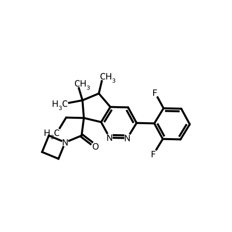 CCC1(C(=O)N2CCC2)c2nnc(-c3c(F)cccc3F)cc2C(C)C1(C)C